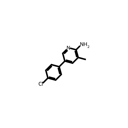 Cc1cc(-c2ccc(Cl)cc2)cnc1N